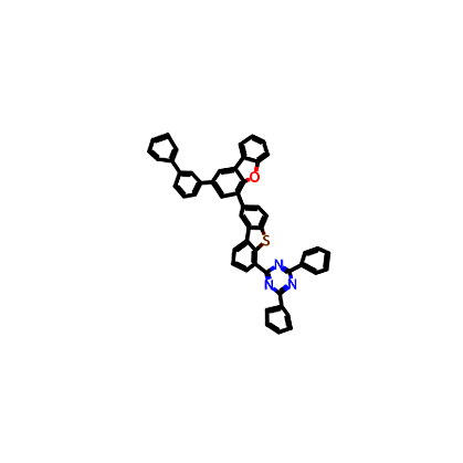 c1ccc(-c2cccc(-c3cc(-c4ccc5sc6c(-c7nc(-c8ccccc8)nc(-c8ccccc8)n7)cccc6c5c4)c4oc5ccccc5c4c3)c2)cc1